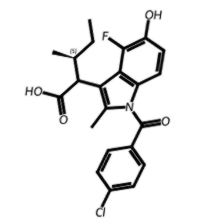 CC[C@H](C)C(C(=O)O)c1c(C)n(C(=O)c2ccc(Cl)cc2)c2ccc(O)c(F)c12